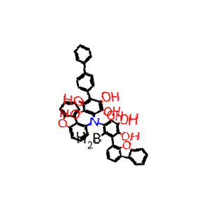 Bc1c(-c2cccc3c2oc2ccccc23)c(O)c(O)c(O)c1N(c1c(O)c(O)c(-c2ccc(-c3ccccc3)cc2)c(O)c1O)c1cccc2oc3ccccc3c12